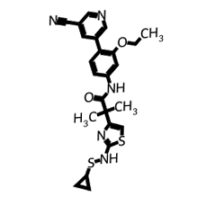 CCOc1cc(NC(=O)C(C)(C)c2csc(NSC3CC3)n2)ccc1-c1cncc(C#N)c1